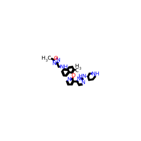 Cc1nc(CNc2cccc3c(Oc4ncccc4-c4ccnc(N[C@H]5CCCNC5)n4)c(C)ccc23)no1